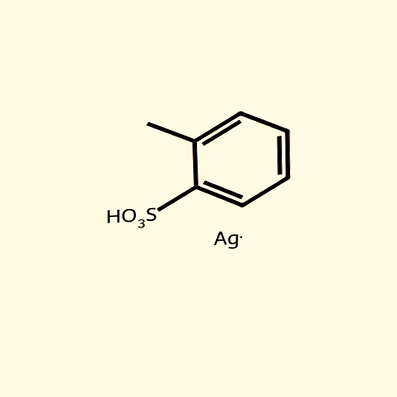 Cc1ccccc1S(=O)(=O)O.[Ag]